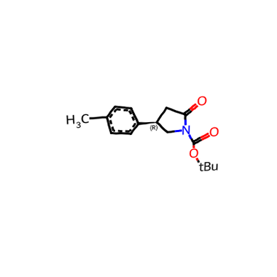 Cc1ccc([C@H]2CC(=O)N(C(=O)OC(C)(C)C)C2)cc1